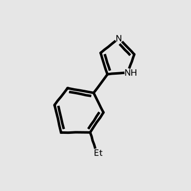 CCc1cccc(-c2cnc[nH]2)c1